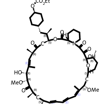 CCOC(=O)O[C@H]1CC[C@H](C[C@@H](C)[C@@H]2CC(=O)[C@H](C)/C=C(\C)[C@@H](O)[C@@H](OC)C(=O)[C@H](C)C[C@H](C)/C=C/C=C/C=C(\C)[C@@H](OC)C[C@@H]3CC[C@@H](C)[C@@](O)(O3)C(=O)C(=O)N3CCCC[C@H]3C(=O)O2)CC1